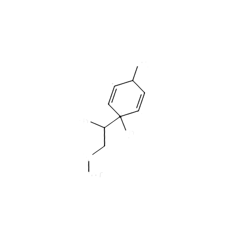 CCCC(COC(=O)OCC)C1(CCC)C=CC(C(=O)O)C=C1